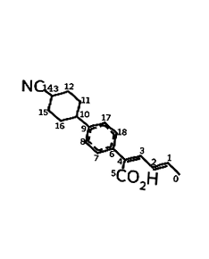 CC=CC=C(C(=O)O)c1ccc(C2CCC(C#N)CC2)cc1